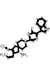 C=NC1=C(/C=C\C)[C@@H](N)C2(CCN(c3cnc(-c4c[nH]c5ccccc45)c(I)n3)CC2)C1